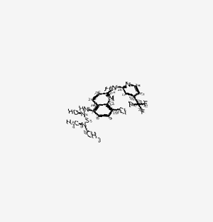 CN(C)SN(O)Nc1ccc(Cl)c2nc(Nc3cc(C(F)(F)F)ccn3)ccc12